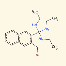 CCNC(NCC)(NCC)c1cc2ccccc2cc1CBr